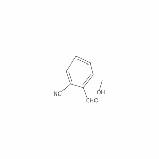 CO.N#Cc1ccccc1C=O